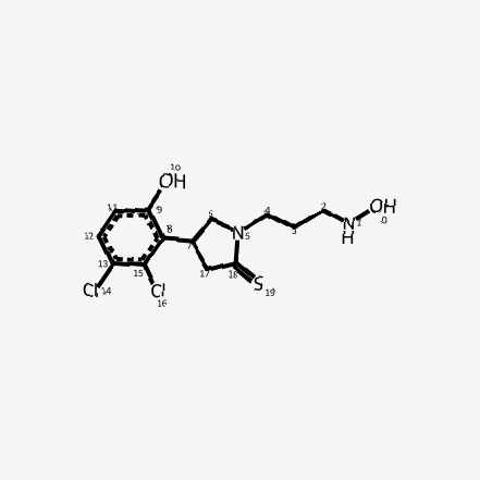 ONCCCN1CC(c2c(O)ccc(Cl)c2Cl)CC1=S